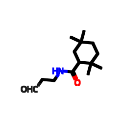 CC1(C)CCC(C)(C)C(C(=O)NCCC=O)C1